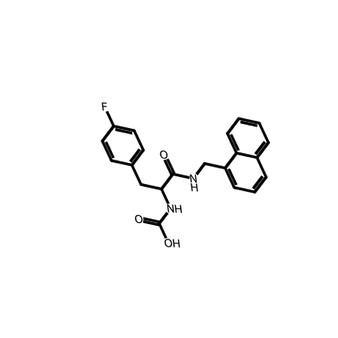 O=C(O)NC(Cc1ccc(F)cc1)C(=O)NCc1cccc2ccccc12